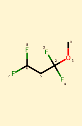 COC(F)(F)CC(F)F